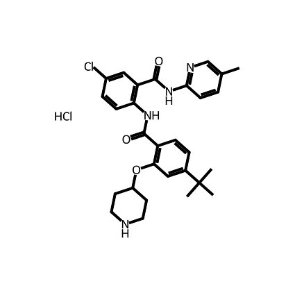 Cc1ccc(NC(=O)c2cc(Cl)ccc2NC(=O)c2ccc(C(C)(C)C)cc2OC2CCNCC2)nc1.Cl